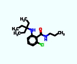 CCCNC(=O)c1c(Cl)cccc1NC(CC)(CC)CC